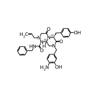 C=CCN1CC(=O)N2[C@@H](Cc3ccc(O)cc3)C(=O)N(Cc3ccc(N)c(O)c3)C[C@@H]2N1C(=O)NCc1ccccc1